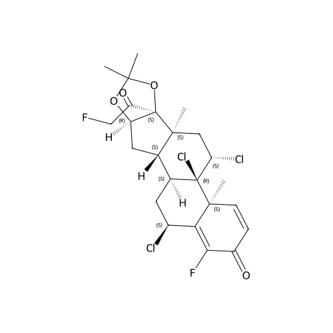 CC1(C)O[C@@H]2C[C@H]3[C@@H]4C[C@H](Cl)C5=C(F)C(=O)C=C[C@]5(C)[C@@]4(Cl)[C@@H](Cl)C[C@]3(C)[C@]2(C(=O)CF)O1